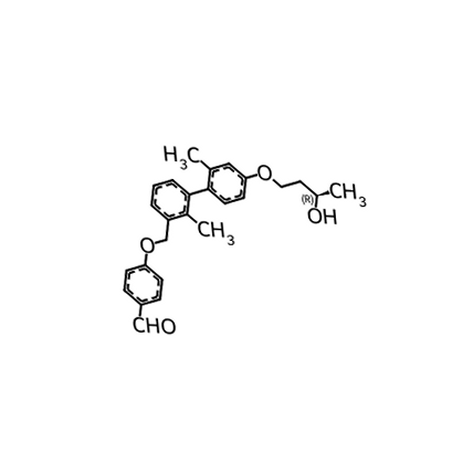 Cc1cc(OCC[C@@H](C)O)ccc1-c1cccc(COc2ccc(C=O)cc2)c1C